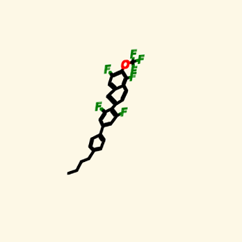 CCCCc1ccc(-c2cc(F)c(-c3ccc4c(F)c(OC(F)(F)F)c(F)cc4c3)c(F)c2)cc1